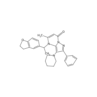 Cc1cc(=O)n2nc(-c3ccccc3)c(N3CCCCC3)c2n1C(C)c1ccc2c(c1)CCO2